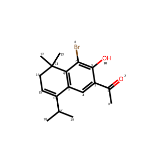 CC(=O)c1cc2c(c(Br)c1O)C(C)(C)CC=C2C(C)C